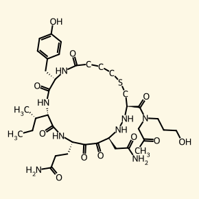 CC[C@H](C)[C@@H]1NC(=O)[C@H](Cc2ccc(O)cc2)NC(=O)CCCSC[C@@H](C(=O)N(CCCO)CC(C)=O)NN[C@@H](CC(N)=O)C(=O)C(=O)[C@H](CCC(N)=O)NC1=O